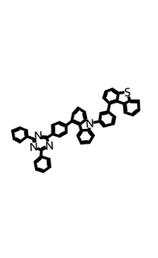 c1ccc(-c2nc(-c3ccccc3)nc(-c3ccc(-c4cccc5c4c4ccccc4n5-c4cccc(-c5cccc6sc7ccccc7c56)c4)cc3)n2)cc1